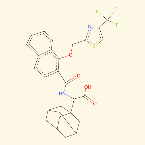 O=C(NC(C(=O)O)C12CC3CC(CC(C3)C1)C2)c1ccc2ccccc2c1OCc1nc(C(F)(F)F)cs1